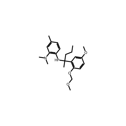 CCCC(C)(Pc1ccc(C)cc1N(C)C)c1cc(OC)ccc1OCOC